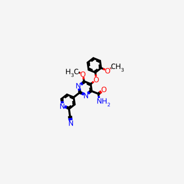 COc1ccccc1Oc1c(OC)nc(-c2ccnc(C#N)c2)nc1C(N)=O